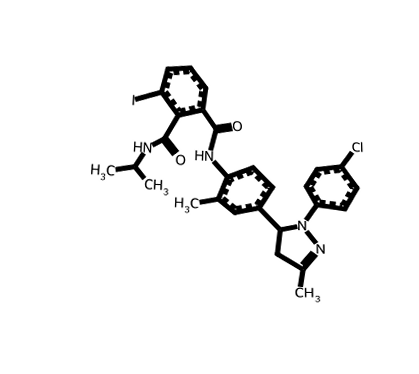 CC1=NN(c2ccc(Cl)cc2)C(c2ccc(NC(=O)c3cccc(I)c3C(=O)NC(C)C)c(C)c2)C1